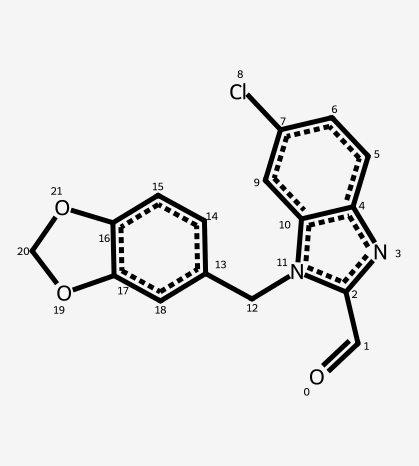 O=Cc1nc2ccc(Cl)cc2n1Cc1ccc2c(c1)OCO2